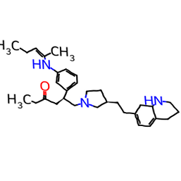 CC/C=C(/C)Nc1cccc([C@H](CC(=O)CC)CN2CC[C@@H](CCC3=CC=C4CCCNC4C3)C2)c1